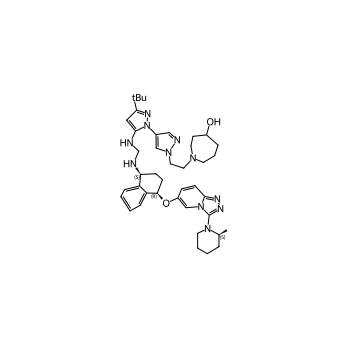 C[C@H]1CCCCN1c1nnc2ccc(O[C@@H]3CC[C@H](NCNc4cc(C(C)(C)C)nn4-c4cnn(CCN5CCCC(O)CC5)c4)c4ccccc43)cn12